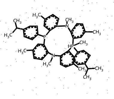 Cc1ccc2c(c1)P(c1ccc(C(C)C)cc1)c1cc(C)ccc1N(C)c1ccc(C)cc1[PH](C)(c1ccc(C(C)C)cc1)c1cc(C)ccc1N2C